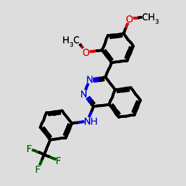 COc1ccc(-c2nnc(Nc3cccc(C(F)(F)F)c3)c3ccccc23)c(OC)c1